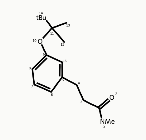 CNC(=O)CCc1cccc(OC(C)(C)C(C)(C)C)c1